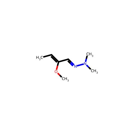 CC=C(C=NN(C)C)OC